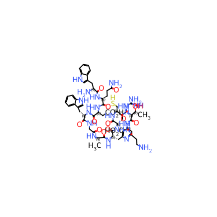 C[C@H](NC(=O)CNC(=O)[C@H](Cc1c[nH]c2ccccc12)NC(=O)[C@H](CC(=O)O)NC(=O)[C@H](CCC(N)=O)NC(=O)[C@@H](N)Cc1c[nH]c2ccccc12)C(=O)N[C@@H](Cc1c[nH]cn1)C(=O)N[C@@H](CCCNC(=N)N)C(=O)N[C@@H](CS)C(=O)N[C@H](C(=O)N[C@@H](CCCCN)C(=O)O)[C@@H](C)O